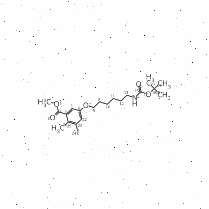 COC(=O)c1cc(OCCCCCCNC(=O)OC(C)(C)C)cc(I)c1C